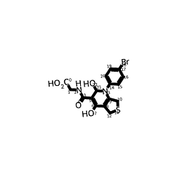 O=C(O)CNC(=O)C1=C(O)C2=C(CSC2)N(c2ccc(Br)cc2)C1O